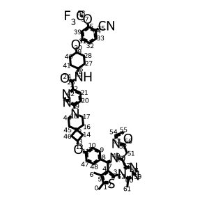 Cc1sc2c(c1C)C(c1ccc(OC3CC4(CCN(c5ccc(C(=O)NC6CCC(Oc7ccc(C#N)c(OC(F)(F)F)c7)CC6)nn5)CC4)C3)cc1)=N[C@@H](Cc1ncco1)c1nnc(C)n1-2